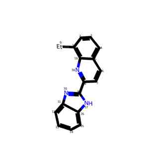 CCc1cccc2ccc(-c3nc4ccccc4[nH]3)nc12